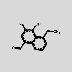 CCc1cccc2c(C=O)cc(Cl)c(O)c12